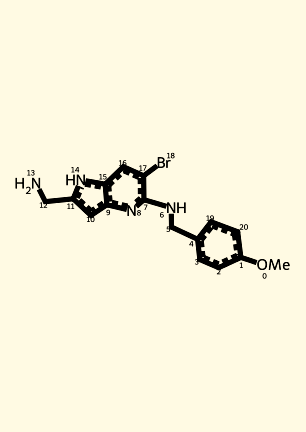 COc1ccc(CNc2nc3cc(CN)[nH]c3cc2Br)cc1